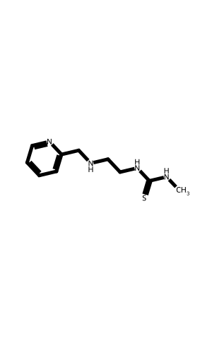 CNC(=S)NCCNCc1ccccn1